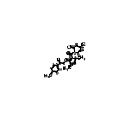 Cc1ccc(C(=O)COc2c(C(=O)c3ccc(Cl)cc3Cl)c(C)nn2C)cc1